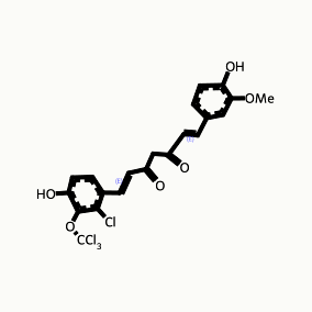 COc1cc(/C=C/C(=O)CC(=O)/C=C/c2ccc(O)c(OC(Cl)(Cl)Cl)c2Cl)ccc1O